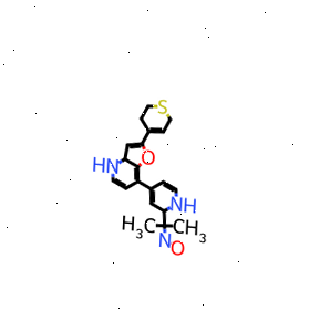 CC(C)(N=O)C1C=C(C2=C3OC(C4=CCSCC4)=CC3NC=C2)C=CN1